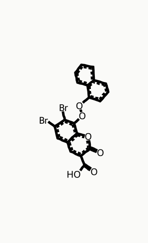 O=C(O)c1cc2cc(Br)c(Br)c(OOc3cccc4ccccc34)c2oc1=O